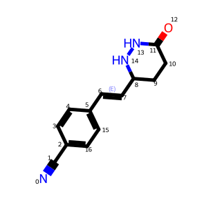 N#Cc1ccc(/C=C/C2CCC(=O)NN2)cc1